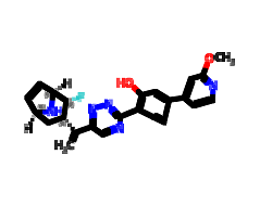 C=C(c1cnc(-c2ccc(-c3ccnc(OC)c3)cc2O)nn1)[C@@H]1C[C@H]2C=C[C@H](N2)[C@@H]1F